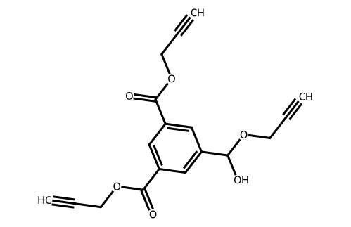 C#CCOC(=O)c1cc(C(=O)OCC#C)cc(C(O)OCC#C)c1